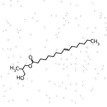 CCCCCC/C=C/CCCCCCCC(=O)OCC(C)CO